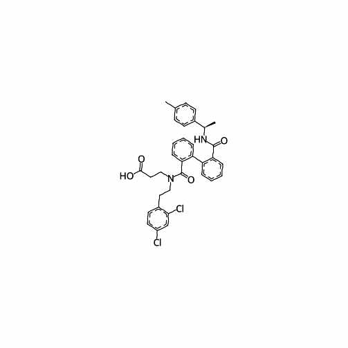 Cc1ccc([C@@H](C)NC(=O)c2ccccc2-c2ccccc2C(=O)N(CCC(=O)O)CCc2ccc(Cl)cc2Cl)cc1